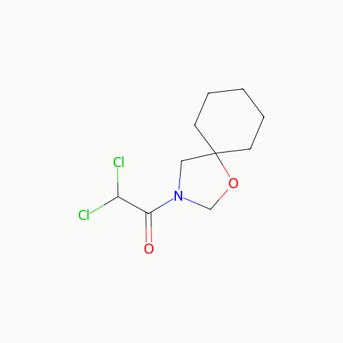 O=C(C(Cl)Cl)N1COC2(CCCCC2)C1